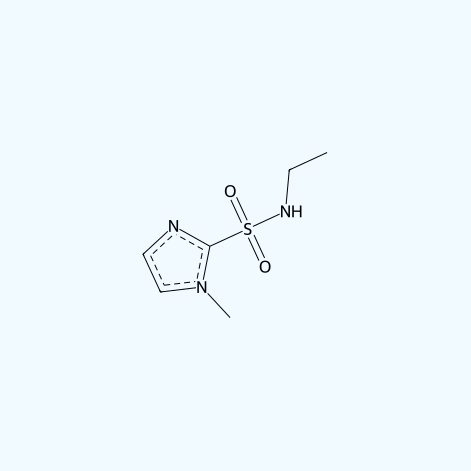 CCNS(=O)(=O)c1nccn1C